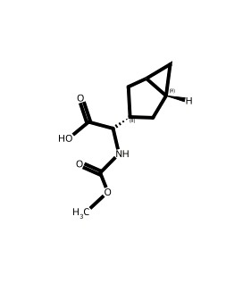 COC(=O)NC(C(=O)O)[C@@H]1CC2C[C@@H]2C1